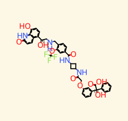 O=C(COc1cccc([C@](O)(C(=O)O)c2ccccc2)c1)NC1CC(NC(=O)c2ccc(CNC[C@H](O)c3ccc(O)c4[nH]c(=O)ccc34)c(OC(F)(F)F)c2)C1